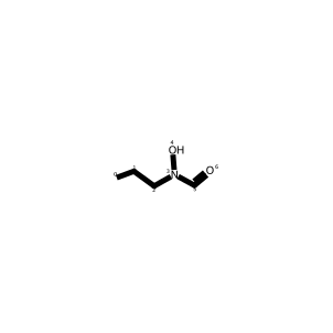 CCCN(O)C=O